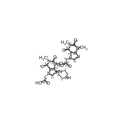 C1CNCCN1.Cn1c(=O)c2c(ncn2CC(=O)O)n(C)c1=O.Cn1c(=O)c2c(ncn2CC(=O)O)n(C)c1=O